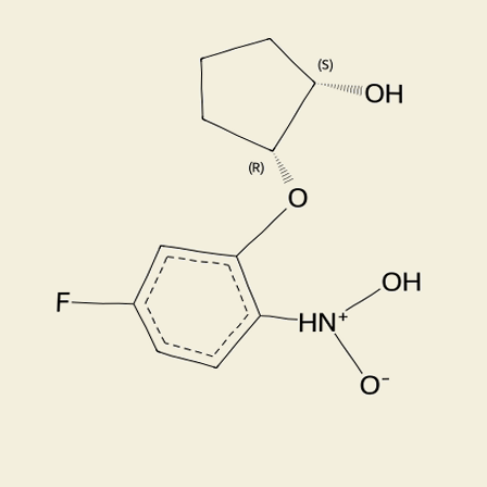 [O-][NH+](O)c1ccc(F)cc1O[C@@H]1CCC[C@@H]1O